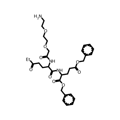 CCC(=O)CCC(NC(=O)COCCOCCN)C(=O)NC(CCC(=O)OCc1ccccc1)C(=O)OCc1ccccc1